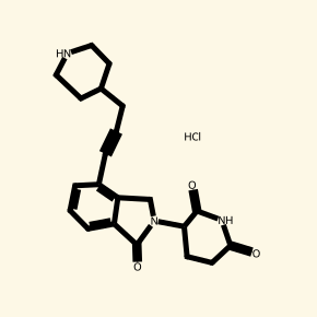 Cl.O=C1CCC(N2Cc3c(C#CCC4CCNCC4)cccc3C2=O)C(=O)N1